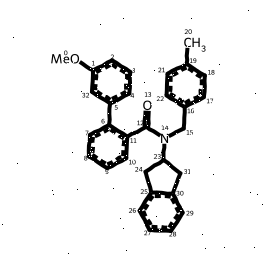 COc1cccc(-c2ccccc2C(=O)N(Cc2ccc(C)cc2)C2Cc3ccccc3C2)c1